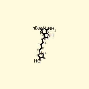 CCCCc1nc(N)c2[nH]cc(CCCCCN3CCC(O)C3)c2n1